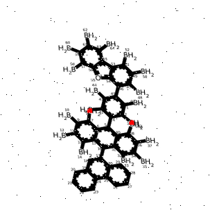 Bc1c(B)c(-c2c3c(B)c(B)c(B)c(B)c3c(-c3cc4ccccc4c4ccccc34)c3c(B)c(B)c(B)c(B)c23)c(B)c(B)c1-c1c(B)c(B)c(B)c2c1oc1c(B)c(B)c(B)c(B)c12